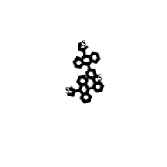 c1cc(-c2c3ccccc3c(-c3ccsc3)c3ccccc23)c2c(c1)sc1cc(-c3c4ccccc4c(-c4ccsc4)c4ccccc34)ccc12